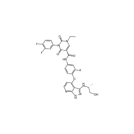 CCn1cc(C(=O)Nc2ccc(Oc3ccnc4[nH]nc(N[C@H](C)CO)c34)c(F)c2)c(=O)n(-c2ccc(F)c(F)c2)c1=O